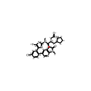 CN(C(=O)[C@@H](CC(=O)O)CC1CCCC1)c1nc(-c2cc(Cl)ccc2-c2cnc3c(c2)CC(=O)N3C)c(F)s1